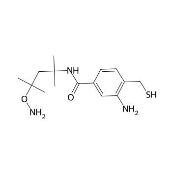 CC(C)(CC(C)(C)ON)NC(=O)c1ccc(CS)c(N)c1